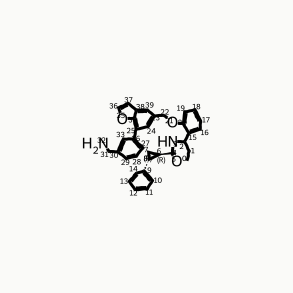 CCC(NC(=O)[C@@H]1C[C@H]1c1ccccc1)c1ccccc1OCc1cc(-c2cccc(CN)c2)c2occc2c1